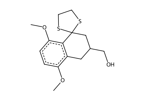 COc1ccc(OC)c2c1CC(CO)CC21SCCS1